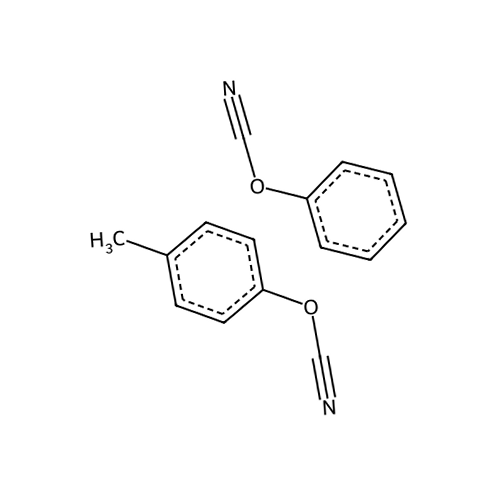 Cc1ccc(OC#N)cc1.N#COc1ccccc1